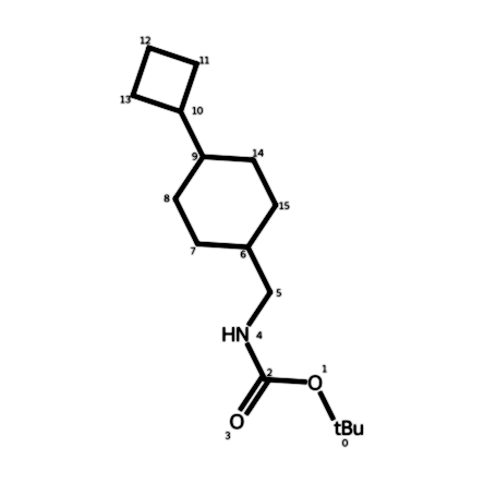 CC(C)(C)OC(=O)NCC1CCC(C2CCC2)CC1